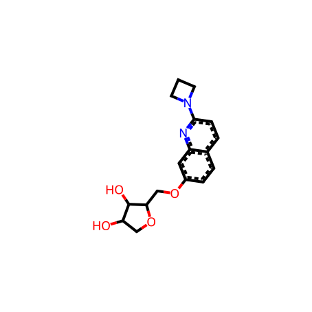 OC1COC(COc2ccc3ccc(N4CCC4)nc3c2)C1O